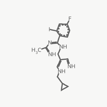 CC(=N)/N=C(\NC/C(C=N)=C/NCC1CC1)c1ccc(F)cc1I